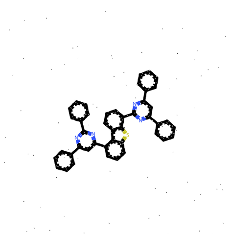 c1ccc(-c2cc(-c3cccc4sc5c(-c6nc(-c7ccccc7)cc(-c7ccccc7)n6)cccc5c34)nc(-c3ccccc3)n2)cc1